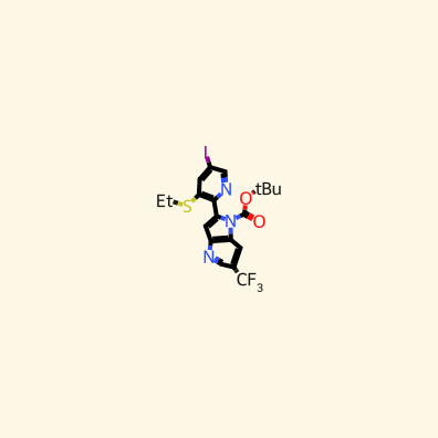 CCSc1cc(I)cnc1-c1cc2ncc(C(F)(F)F)cc2n1C(=O)OC(C)(C)C